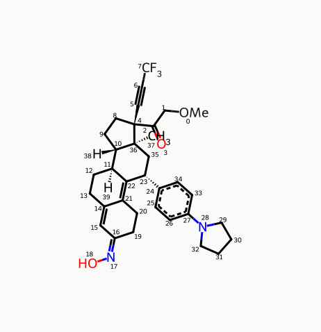 COCC(=O)[C@@]1(C#CC(F)(F)F)CC[C@H]2[C@@H]3CCC4=CC(=NO)CCC4=C3[C@@H](c3ccc(N4CCCC4)cc3)C[C@@]21C